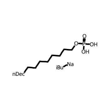 CCCCCCCCCCCCCCCCCCOP(=O)(O)O.CC[CH](C)[Na]